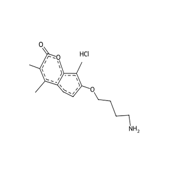 Cc1c(C)c2ccc(OCCCCN)c(C)c2oc1=O.Cl